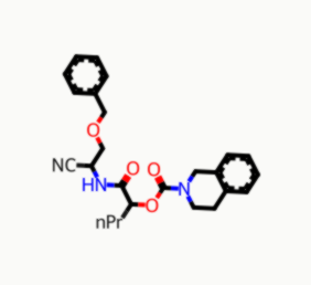 CCCC(OC(=O)N1CCc2ccccc2C1)C(=O)NC(C#N)COCc1ccccc1